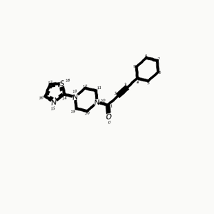 O=C(C#CC1CCCCC1)N1CCN(c2nccs2)CC1